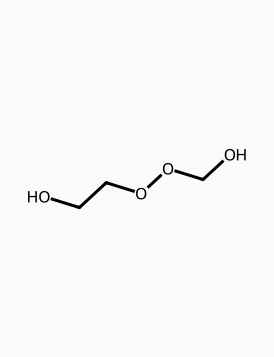 OCCOOCO